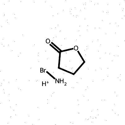 NBr.O=C1CCCO1.[H+]